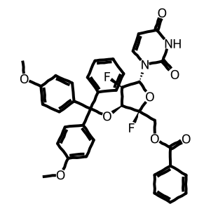 COc1ccc(C(O[C@H]2[C@@H](F)[C@H](n3ccc(=O)[nH]c3=O)O[C@]2(F)COC(=O)c2ccccc2)(c2ccccc2)c2ccc(OC)cc2)cc1